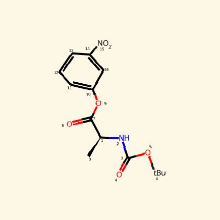 C[C@H](NC(=O)OC(C)(C)C)C(=O)Oc1cccc([N+](=O)[O-])c1